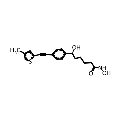 Cc1csc(C#Cc2ccc([C@@H](O)CCCCC(=O)NO)cc2)c1